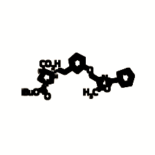 Cc1oc(-c2ccccc2)nc1COc1cccc(CC[C@@H]2CN(C(=O)OCC(C)C)C[C@@H]2C(=O)O)c1